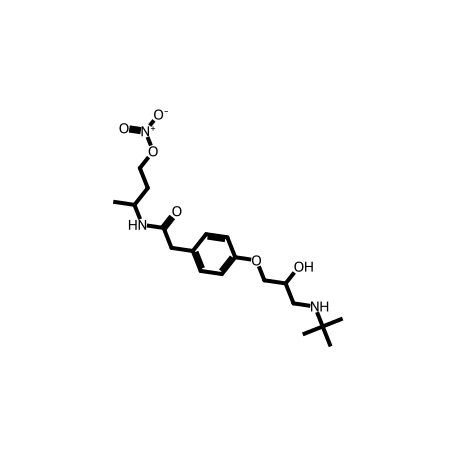 CC(CCO[N+](=O)[O-])NC(=O)Cc1ccc(OCC(O)CNC(C)(C)C)cc1